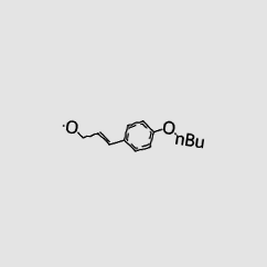 CCCCOc1ccc(C=CC[O])cc1